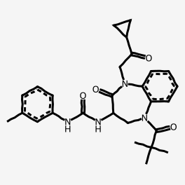 Cc1cccc(NC(=O)NC2CN(C(=O)C(C)(C)C)c3ccccc3N(CC(=O)C3CC3)C2=O)c1